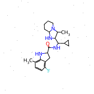 Cc1ccc(F)c2c1NC(C(=O)NC(C1CC1)C1NC3CCCCN3C1C)C2